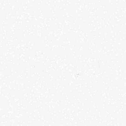 CC(CO)(CO)NC(=O)c1cc(-c2ccc(OC(F)(F)F)cc2)cs1